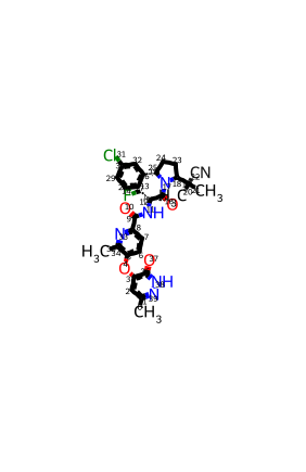 Cc1cc(Oc2ccc(C(=O)N[C@H](CF)C(=O)N3C(C(C)(C)C#N)CC[C@H]3c3cccc(Cl)c3)nc2C)c(=O)[nH]n1